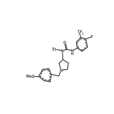 CCN(C(=O)Nc1ccc(F)c(C(F)(F)F)c1)C1CCN(Cc2ccc(OC)cc2)C1